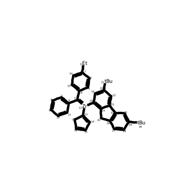 CCc1ccc(/[C](c2ccccc2)=[Zr](/[C]2=CC=CC2)[c]2cc(C(C)(C)C)cc3c2Cc2ccc(C(C)(C)C)cc2-3)cc1